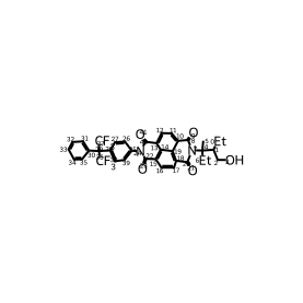 CCC(CO)C(C)(CC)N1C(=O)c2ccc3c4c(ccc(c24)C1=O)C(=O)N(c1ccc(C(c2ccccc2)(C(F)(F)F)C(F)(F)F)cc1)C3=O